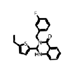 CCc1ccc(C2Nc3ccccc3C(=O)N2Cc2cccc(F)c2)s1